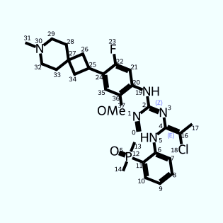 C=N/C(=N\C(Nc1ccccc1P(C)(C)=O)=C(/C)Cl)Nc1cc(F)c(C2CC3(CCN(C)CC3)C2)cc1OC